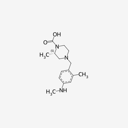 CNc1ccc(CN2CCN(C(=O)O)[C@@H](C)C2)c(C)c1